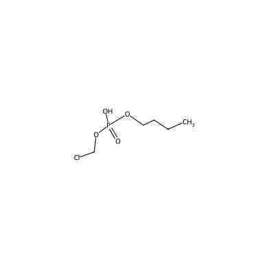 CCCCOP(=O)(O)OCCl